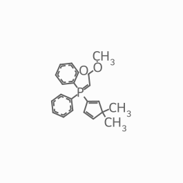 COC(=O)C=P(C1=CC(C)(C)C=C1)(c1ccccc1)c1ccccc1